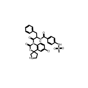 CS(=O)(=O)Nc1ccc(C(=O)NC(Cc2ccccc2)C(=O)N2C(=O)OC3(CCNC3)c3cc(Cl)ccc32)cc1